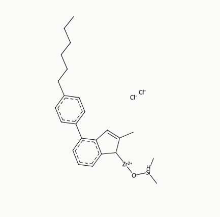 CCCCCCc1ccc(-c2cccc3c2C=C(C)[CH]3[Zr+2][O][SiH](C)C)cc1.[Cl-].[Cl-]